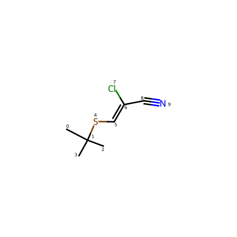 CC(C)(C)SC=C(Cl)C#N